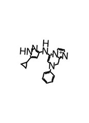 C1=C[N+]2C(Nc3cc(C4CC4)[nH]n3)=CN(c3ccccc3)CC2=N1